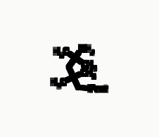 CCCC(C)CC(C)(C)CC(C)(C)N